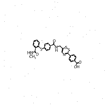 CNC(=O)c1ccccc1Sc1ccc(C(=O)NCC2=CN=C(c3ccc(C(=O)O)cc3)SS2)cc1